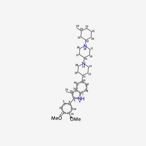 COc1ccc(-c2[nH]c3ccc(C4CCN(C5CCN(C6CCCC(C)C6)CC5)CC4)cc3c2C)cc1OC